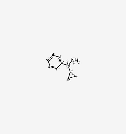 NN(c1ccccc1)C1CC1